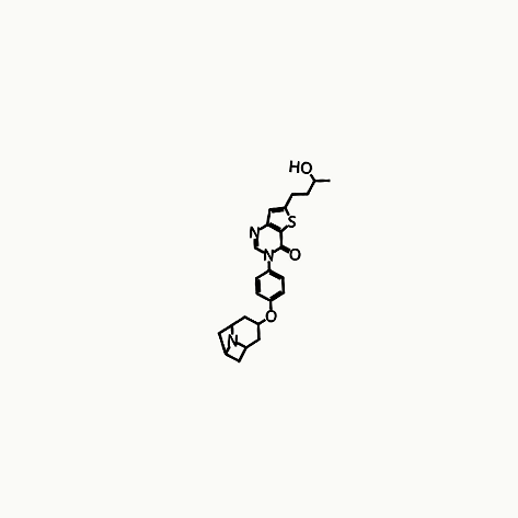 CC(O)CCc1cc2ncn(-c3ccc(OC4CC5CC6CC(C4)N56)cc3)c(=O)c2s1